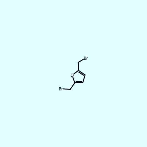 BrCc1ccc(CBr)o1